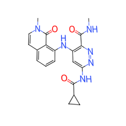 CNC(=O)c1nnc(NC(=O)C2CC2)cc1Nc1cccc2ccn(C)c(=O)c12